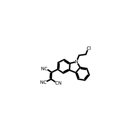 N#CC(C#N)=C(C#N)c1ccc2c(c1)c1ccccc1n2CCCl